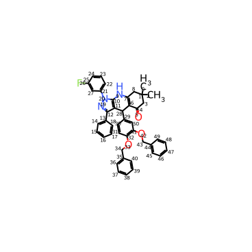 CC1(C)CC(=O)C2=C(C1)Nc1c(c(-c3ccccc3)nn1-c1cccc(F)c1)C2c1ccc(OCc2ccccc2)c(OCc2ccccc2)c1